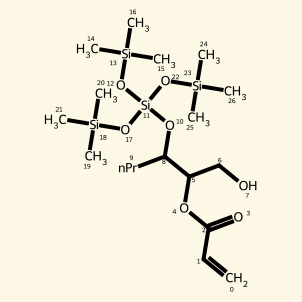 C=CC(=O)OC(CO)C(CCC)O[Si](O[Si](C)(C)C)(O[Si](C)(C)C)O[Si](C)(C)C